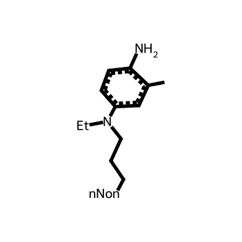 CCCCCCCCCCCCN(CC)c1ccc(N)c(C)c1